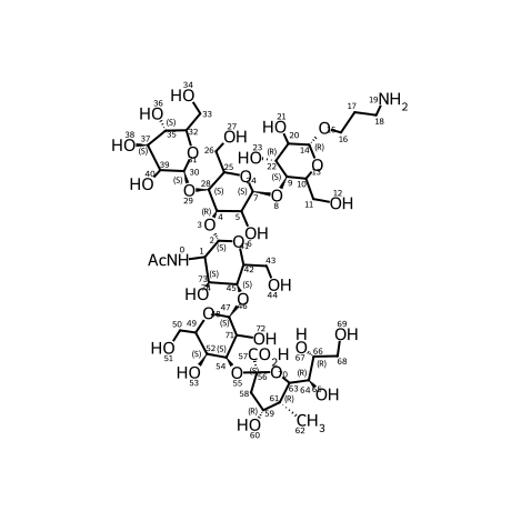 CC(=O)NC1[C@H](O[C@@H]2C(O)[C@H](O[C@@H]3C(CO)O[C@@H](OCCCN)C(O)[C@H]3O)OC(CO)[C@@H]2O[C@@H]2OC(CO)[C@@H](O)[C@H](O)C2O)OC(CO)[C@@H](O[C@@H]2OC(CO)[C@H](O)[C@H](O[C@]3(C(=O)O)C[C@@H](O)[C@@H](C)C([C@H](O)[C@H](O)CO)O3)C2O)[C@H]1O